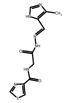 Cc1nc[nH]c1/C=N/NC(=O)CNC(=O)c1cscn1